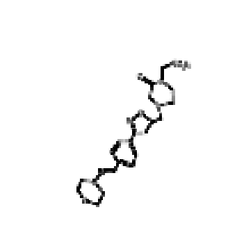 O=C(O)CN1CCN(CC2CC(c3ccc(C=NN4CCOCC4)cc3)=NO2)CC1=O